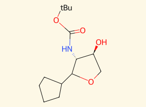 CC(C)(C)OC(=O)N[C@H]1C(C2CCCC2)OC[C@@H]1O